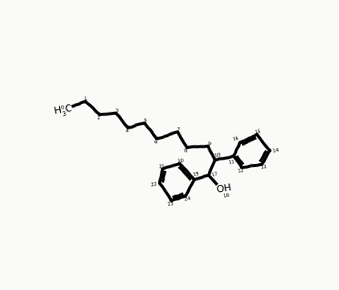 CCCCCCCCCCC(c1ccccc1)C(O)c1ccccc1